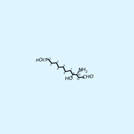 CCCCCCCCCCCCCCC[C@@H](O)[C@@H](N)CC=O